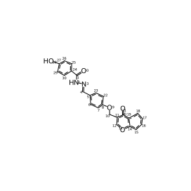 O=C(N/N=C/c1ccc(OCc2coc3ccccc3c2=O)cc1)c1ccc(O)cc1